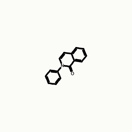 O=c1c2ccccc2ccn1-c1ccccc1